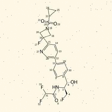 O=C(N[C@H](CF)[C@@H](O)c1ccc(-c2ccc(C3(F)CN(S(=O)(=O)C4CC4)C3)nc2)cc1)C(F)F